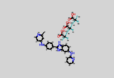 Cc1cc(Nc2ccc(-c3nc4cc(Nc5ccccn5)ccc4[nH]3)cc2)ccn1.O=C(O)C(F)(F)F.O=C(O)C(F)(F)F.O=C(O)C(F)(F)F